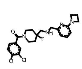 O=C(c1ccc(Cl)c(Cl)c1)N1CCC(F)(CNCc2cccc(N3CCC3)n2)CC1